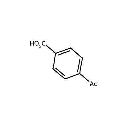 [CH2]C(=O)c1ccc(C(=O)O)cc1